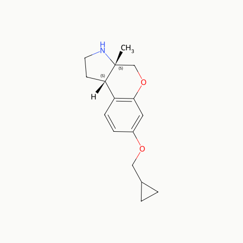 C[C@@]12COc3cc(OCC4CC4)ccc3[C@@H]1CCN2